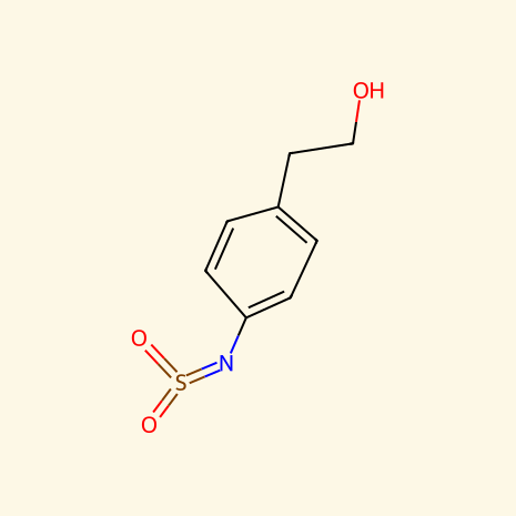 O=S(=O)=Nc1ccc(CCO)cc1